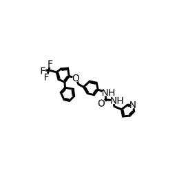 O=C(NCc1cccnc1)Nc1ccc(COc2ccc(C(F)(F)F)cc2-c2ccccc2)cc1